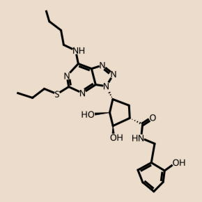 CCCCNc1nc(SCCC)nc2c1nnn2[C@@H]1C[C@H](C(=O)NCc2ccccc2O)[C@@H](O)[C@H]1O